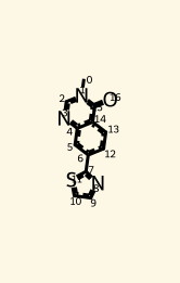 Cn1cnc2cc(-c3nccs3)ccc2c1=O